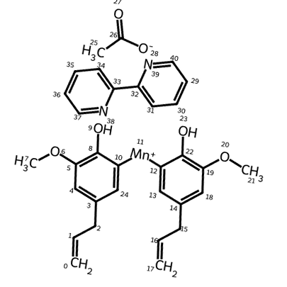 C=CCc1cc(OC)c(O)[c]([Mn+][c]2cc(CC=C)cc(OC)c2O)c1.CC(=O)[O-].c1ccc(-c2ccccn2)nc1